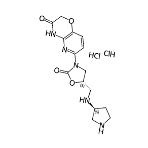 Cl.Cl.O=C1COc2ccc(N3C[C@H](CN[C@H]4CCNC4)OC3=O)nc2N1